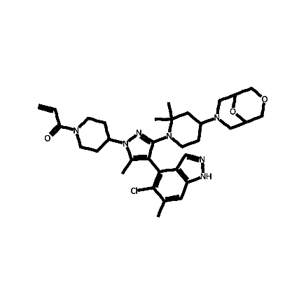 C=CC(=O)N1CCC(n2nc(N3CCC(N4CC5COCC(C4)O5)CC3(C)C)c(-c3c(Cl)c(C)cc4[nH]ncc34)c2C)CC1